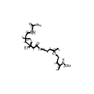 CCC(C)(CC(=O)NCCCC(C)OCCC(C)NC(C)(C)C)CC(C)(C)CNC(=O)C(C)(C)C